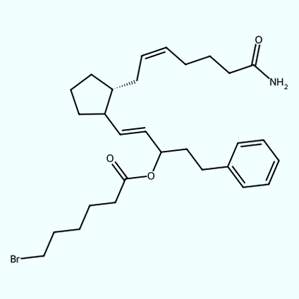 NC(=O)CCC/C=C\C[C@H]1CCCC1/C=C/C(CCc1ccccc1)OC(=O)CCCCCBr